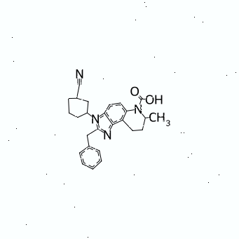 CC1CCc2c(ccc3c2nc(Cc2ccccc2)n3C2CCCC(C#N)C2)N1C(=O)O